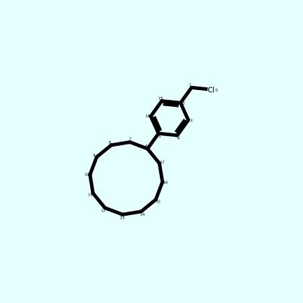 ClCc1ccc(C2CCCCCCCCCCC2)cc1